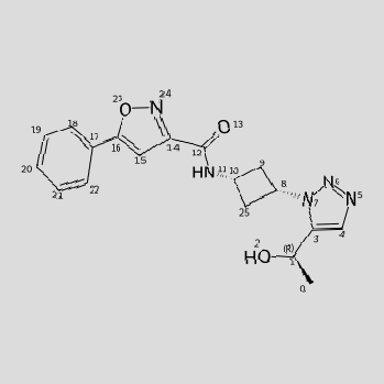 C[C@@H](O)c1cnnn1[C@H]1C[C@@H](NC(=O)c2cc(-c3ccccc3)on2)C1